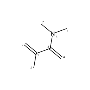 C=C(C)C(=C)N(C)C